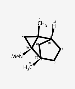 CN[C@@]12CC1(C)[C@@H]1CC[C@@]2(C)C1